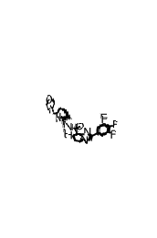 O=C(Nc1cccc(CN2CCOCC2)n1)c1cccn2cc(-c3cc(F)c(F)c(F)c3)nc12